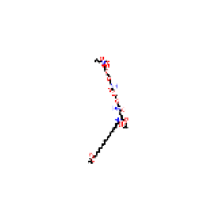 CCCC(=O)N(C=O)OC(=O)COCCOCCNC(=O)COCCOCCNC(=O)CCC(NC(=O)CCCCCCCCCCCCCCCCC(=O)OC(C)(C)C)C(=O)OC(C)(C)C